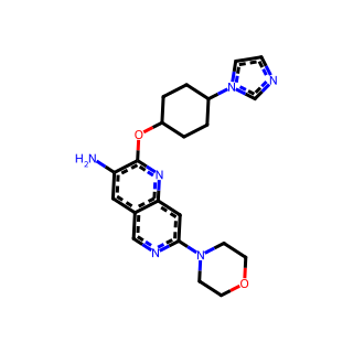 Nc1cc2cnc(N3CCOCC3)cc2nc1OC1CCC(n2ccnc2)CC1